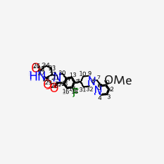 COc1cccnc1CN1CCC(c2cc3c(cc2F)C(=O)N(C2CCC(=O)NC2=O)C3)CC1